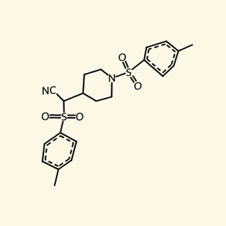 Cc1ccc(S(=O)(=O)C(C#N)C2CCN(S(=O)(=O)c3ccc(C)cc3)CC2)cc1